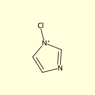 Cl[N+]1C=CN=C1